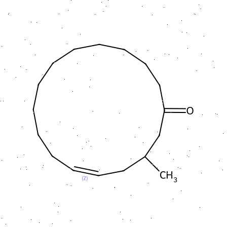 CC1C/C=C\CCCCCCCCCCC(=O)C1